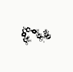 CN(Cc1ccc(N2CCC(=O)NC2=O)cc1)C1CCN(c2ccc(Nc3ncc(C(F)(F)F)c(NCc4nccnc4N(C)S(C)(=O)=O)n3)cc2)CC1